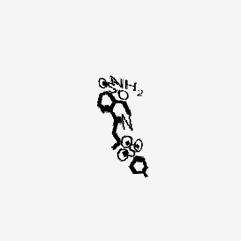 Cc1ccc(S(=O)(=O)OC(C)Cc2nccc3c(S(N)(=O)=O)cccc23)cc1